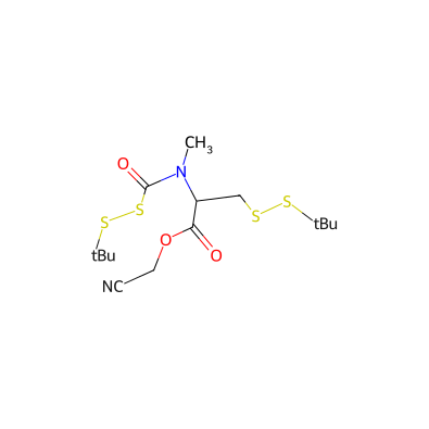 CN(C(=O)SSC(C)(C)C)C(CSSC(C)(C)C)C(=O)OCC#N